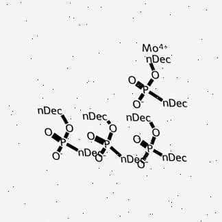 CCCCCCCCCCOP(=O)([O-])CCCCCCCCCC.CCCCCCCCCCOP(=O)([O-])CCCCCCCCCC.CCCCCCCCCCOP(=O)([O-])CCCCCCCCCC.CCCCCCCCCCOP(=O)([O-])CCCCCCCCCC.[Mo+4]